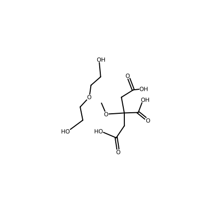 COC(CC(=O)O)(CC(=O)O)C(=O)O.OCCOCCO